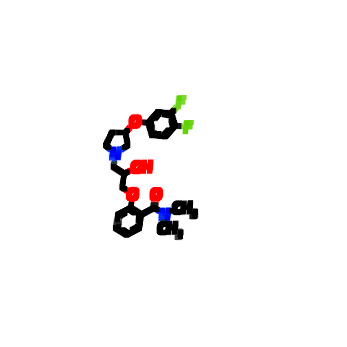 CN(C)C(=O)c1ccccc1OCC(O)CN1CCC(Oc2ccc(F)c(F)c2)C1